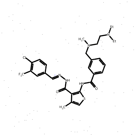 CCN(CC)CCN(C)Cc1cccc(C(=O)Nc2scc(C)c2C(=O)N/N=C/c2ccc(Cl)c(C(F)(F)F)c2)c1